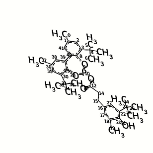 Cc1cc(C(C)(C)C)c2op(OC(=O)CCc3cc(C)c(O)c(C(C)(C)C)c3)oc3c(C(C)(C)C)cc(C)cc3c2c1